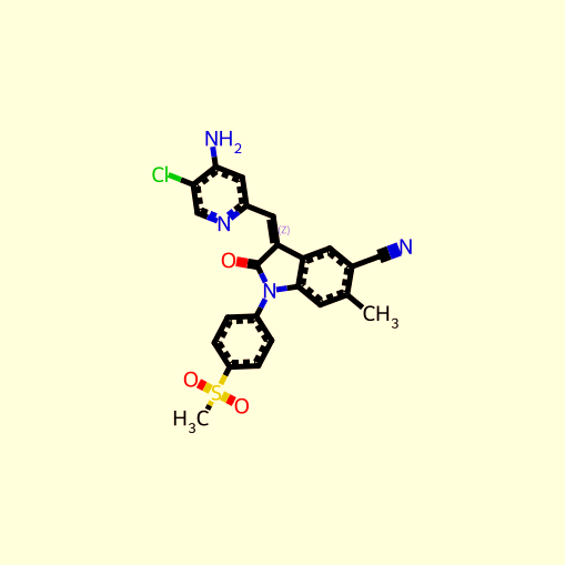 Cc1cc2c(cc1C#N)/C(=C/c1cc(N)c(Cl)cn1)C(=O)N2c1ccc(S(C)(=O)=O)cc1